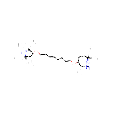 CC1(C)CCC(OCCCCCCCCOC2CC(C)(C)NC2(C)C)CC(C)(C)N1